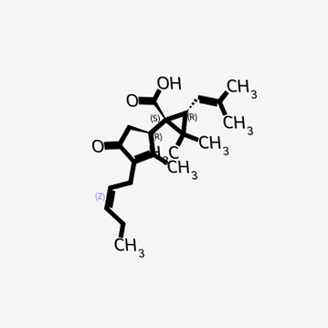 CC/C=C\CC1=C(C)[C@H]([C@]2(C(=O)O)[C@H](C=C(C)C)C2(C)C)CC1=O